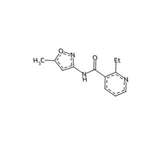 CCc1ncccc1C(=O)Nc1cc(C)on1